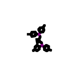 Cc1ccc(P(CC2CCC2CP(c2ccc(C)cc2)c2ccc(C)cc2)c2ccc(C)cc2)cc1